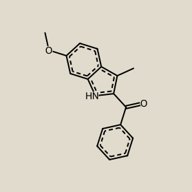 COc1ccc2c(C)c(C(=O)c3ccccc3)[nH]c2c1